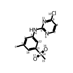 Cc1cc(Nc2nccc(Cl)n2)cc(S(C)(=O)=O)c1